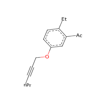 CCCC#CCOc1ccc(CC)c(C(C)=O)c1